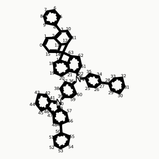 C1=CC2=C(c3ccccc3)C=CC3C2C(=C1)C31c2cccc3c(N(c4ccc(-c5ccccc5)cc4)c4ccc(-n5c6ccccc6c6cc(-c7ccccc7)ccc65)cc4)ccc1c23